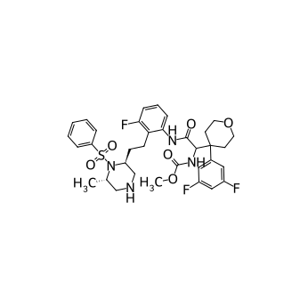 COC(=O)NC(C(=O)Nc1cccc(F)c1CC[C@H]1CNC[C@H](C)N1S(=O)(=O)c1ccccc1)C1(c2cc(F)cc(F)c2)CCOCC1